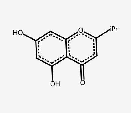 CC(C)c1cc(=O)c2c(O)cc(O)cc2o1